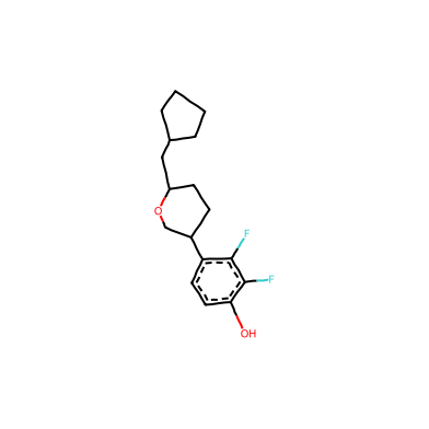 Oc1ccc(C2CCC(CC3CCCC3)OC2)c(F)c1F